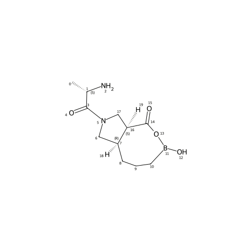 C[C@H](N)C(=O)N1C[C@@H]2CCCB(O)OC(=O)[C@@H]2C1